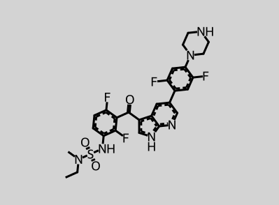 CCN(C)S(=O)(=O)Nc1ccc(F)c(C(=O)c2c[nH]c3ncc(-c4cc(F)c(N5CCNCC5)cc4F)cc23)c1F